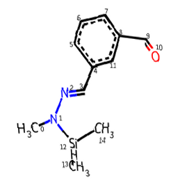 CN(N=Cc1cccc(C=O)c1)[SiH](C)C